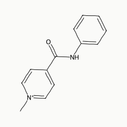 C[n+]1ccc(C(=O)Nc2ccccc2)cc1